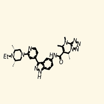 CCN1[C@H](C)CN(c2cc(-c3n[nH]c4ccc(NC(=O)C5=C(C)N(C)c6nnnn6[C@@H]5C)cc34)ccn2)C[C@@H]1C